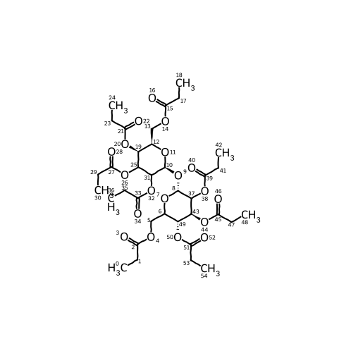 CCC(=O)OCC1O[C@H](O[C@@H]2O[C@H](COC(=O)CC)[C@H](OC(=O)CC)C(OC(=O)CC)C2OC(=O)CC)C(OC(=O)CC)[C@@H](OC(=O)CC)[C@@H]1OC(=O)CC